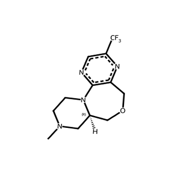 CN1CCN2c3ncc(C(F)(F)F)nc3COC[C@H]2C1